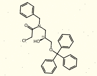 O=C(CCl)N(Cc1ccccc1)C[C@H](O)COC(c1ccccc1)(c1ccccc1)c1ccccc1